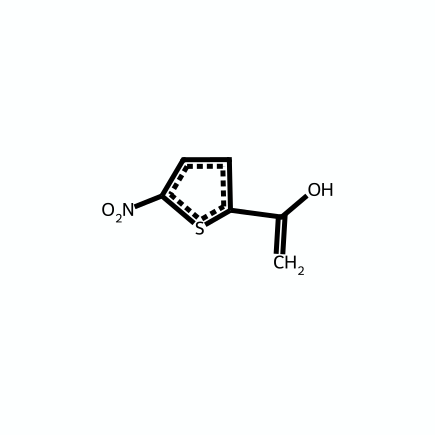 C=C(O)c1ccc([N+](=O)[O-])s1